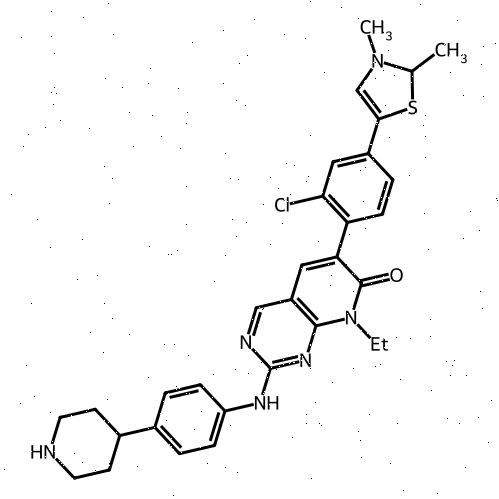 CCn1c(=O)c(-c2ccc(C3=CN(C)C(C)S3)cc2Cl)cc2cnc(Nc3ccc(C4CCNCC4)cc3)nc21